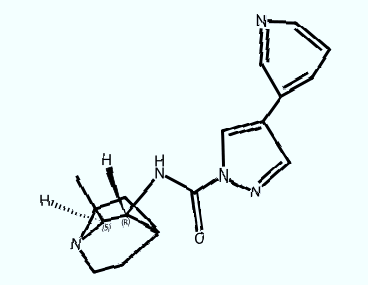 C[C@H]1[C@H](NC(=O)n2cc(-c3cccnc3)cn2)C2CCN1CC2